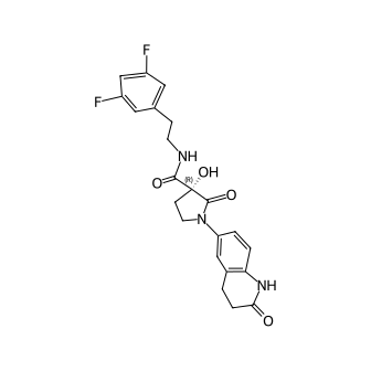 O=C1CCc2cc(N3CC[C@@](O)(C(=O)NCCc4cc(F)cc(F)c4)C3=O)ccc2N1